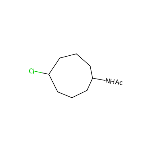 CC(=O)NC1CCCC(Cl)CCC1